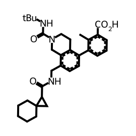 Cc1c(C(=O)O)cccc1-c1ccc(CNC(=O)C2CC23CCCCC3)c2c1CCN(C(=O)NC(C)(C)C)C2